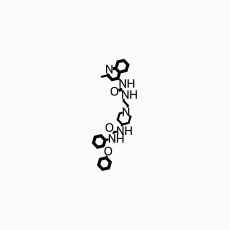 Cc1cc(NC(=O)NCCN2CCC(NC(=O)Nc3ccccc3Oc3ccccc3)CC2)c2ccccc2n1